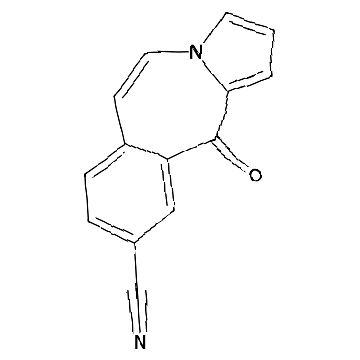 N#Cc1ccc2ccn3cccc3c(=O)c2c1